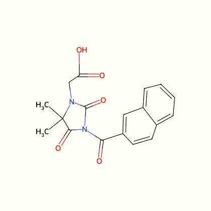 CC1(C)C(=O)N(C(=O)c2ccc3ccccc3c2)C(=O)N1CC(=O)O